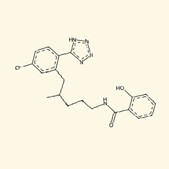 CC(CCCNC(=O)c1ccccc1O)Cc1cc(Cl)ccc1-c1nnn[nH]1